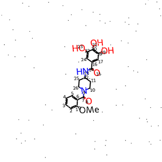 COc1ccccc1C(=O)N1CCC(NC(=O)c2cc(O)c(O)c(O)c2)CC1